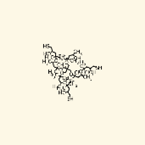 CC(O)CC(C)(C)OCC(COC(C)(C)CC(C)OC(C)(C)CC(O)CS)(COC(C)(C)CC(C)OC(C)(C)CC(O)CS)COC(C)(C)CC(C)OC(C)(C)CC(O)CS